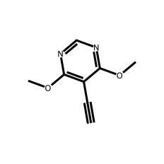 C#Cc1c(OC)ncnc1OC